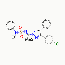 CCN(c1ccccc1)S(=O)(=O)/N=C(\SC)N1CC(c2ccccc2)C(c2ccc(Cl)cc2)=N1